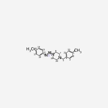 Cc1ccc(CN2CCN(/N=N/c3ccc(C)cc3)CC2)cc1